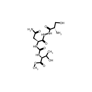 COC(=O)[C@@H](NC(=O)N[C@@H](CC(N)=O)C(=O)NNC(=O)[C@@H](N)CO)C(C)O